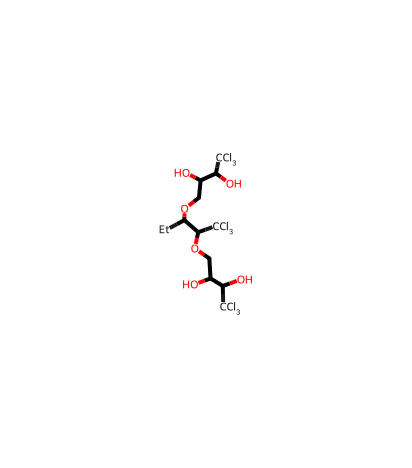 CCC(OCC(O)C(O)C(Cl)(Cl)Cl)C(OCC(O)C(O)C(Cl)(Cl)Cl)C(Cl)(Cl)Cl